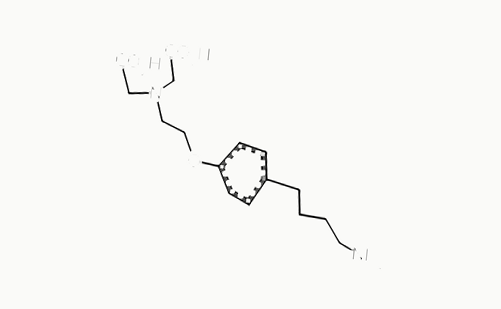 NCCCCc1ccc(OCCN(CC(=O)O)CC(=O)O)cc1